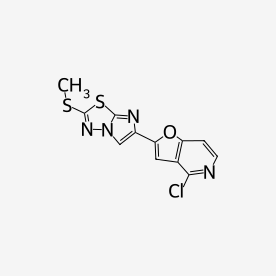 CSc1nn2cc(-c3cc4c(Cl)nccc4o3)nc2s1